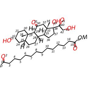 COC(=O)CCCCCCCCCCCCC(=O)OC.C[C@]12CC[C@@H](O)C[C@H]1CC[C@@H]1[C@@H]2C(=O)C[C@@]2(C)[C@H]1CC[C@]2(O)C(=O)CO